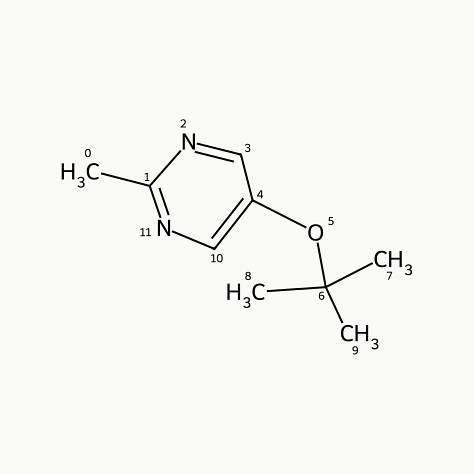 Cc1ncc(OC(C)(C)C)cn1